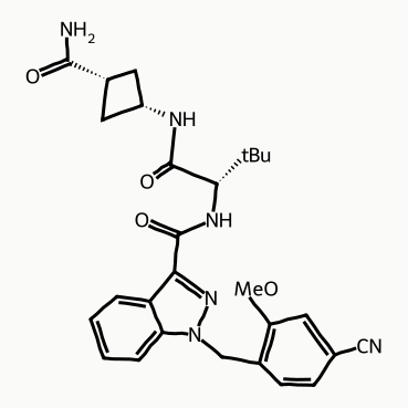 COc1cc(C#N)ccc1Cn1nc(C(=O)N[C@H](C(=O)N[C@H]2C[C@@H](C(N)=O)C2)C(C)(C)C)c2ccccc21